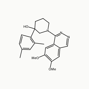 COc1cc2cnnc(N3CCCC(O)(c4ccc(C)cc4C)C3)c2cc1OC